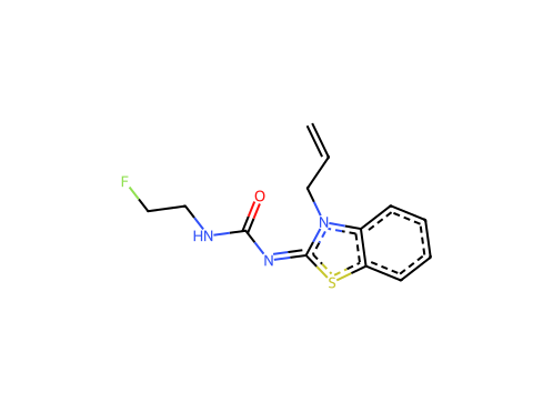 C=CCn1c(=NC(=O)NCCF)sc2ccccc21